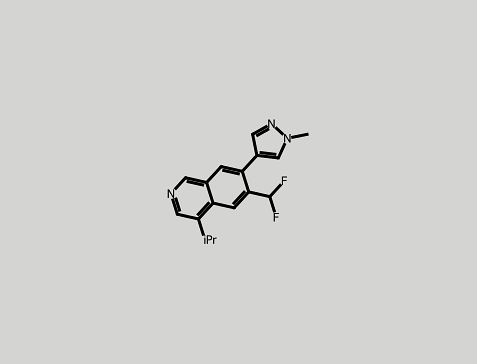 CC(C)c1cncc2cc(-c3cnn(C)c3)c(C(F)F)cc12